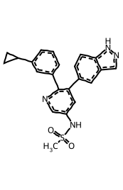 CS(=O)(=O)Nc1cnc(-c2cccc(C3CC3)c2)c(-c2ccc3[nH]ncc3c2)c1